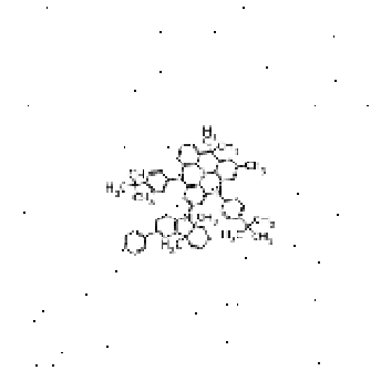 Cc1cc2c3c(c1)C(C)(C)c1cccc4c1B3c1c(cc(N3c5ccc(-c6ccccc6)cc5C5(C)CCCCC35C)cc1N2c1ccc(C(C)(C)C)cc1)N4c1ccc(C(C)(C)C)cc1